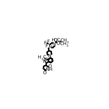 Cn1nc(C2CCC(=O)NC2=O)c2cccc(N3CCC(CN4CCN(C(=O)OC(C)(C)C)C[C@@H]4C(F)(F)F)CC3)c21